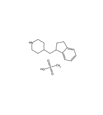 CS(=O)(=O)O.c1ccc2c(c1)CCC2CC1CCNCC1